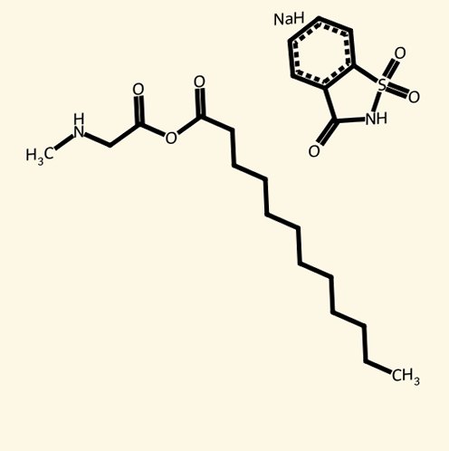 CCCCCCCCCCCC(=O)OC(=O)CNC.O=C1NS(=O)(=O)c2ccccc21.[NaH]